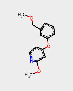 COCc1cccc(Oc2ccnc(OC)c2)c1